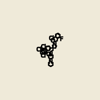 O=C(Cc1c(F)cccc1Cl)N1CCC(CCN2CCC(N3CCCCC3)CC2)(c2ccc(C(Cl)(Cl)Cl)c(C(Cl)(Cl)Cl)c2)C1